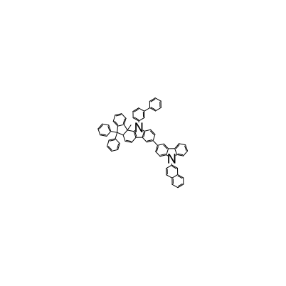 CC12c3ccccc3C(c3ccccc3)(c3ccccc3)C1C=Cc1c2n(-c2cccc(-c3ccccc3)c2)c2ccc(-c3ccc4c(c3)c3ccccc3n4-c3ccc4ccccc4c3)cc12